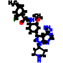 COc1cc(-c2nn(C3CCNCC3)c3ncnc(N)c23)ccc1NC(=O)c1ccc(C)cc1F